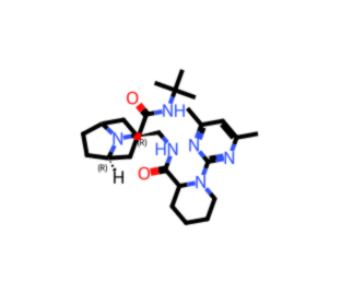 Cc1cc(C)nc(N2CCCCC2C(=O)NC[C@@H]2CC3CC[C@H](C2)N3CC(=O)NC(C)(C)C)n1